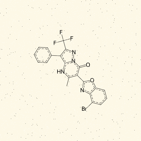 Cc1[nH]c2c(-c3ccccc3)c(C(F)(F)F)nn2c(=O)c1-c1nc2c(Br)cccc2o1